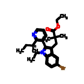 CCOC(=O)C(C)(C)Cc1c(-c2cccnc2[C@H](C)CC)n(CC)c2ccc(Br)cc12